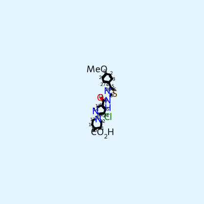 COc1ccc(-c2csc(NC(=O)c3cnc(N4CCC(C(=O)O)CC4)c(Cl)c3)n2)cc1